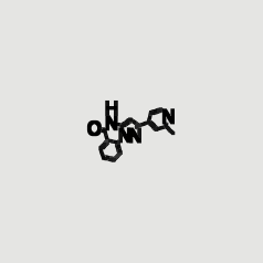 Cc1cc(-c2cc3[nH]c(=O)c4ccccc4n3n2)ccn1